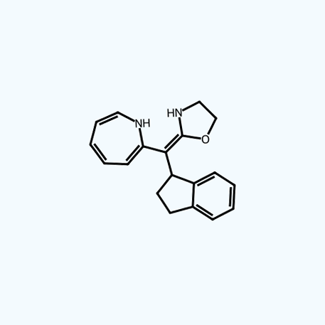 C1=CC=C(C(=C2NCCO2)C2CCc3ccccc32)NC=C1